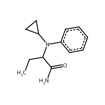 CCC(C(N)=O)N(c1ccccc1)C1CC1